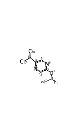 O=C(Cl)c1cnc(OC(F)F)cn1